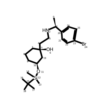 C[C@H](NCC[C@@]1(O)CCC[C@H](O[Si](C)(C)C(C)(C)C)C1)c1ccc(Br)cc1